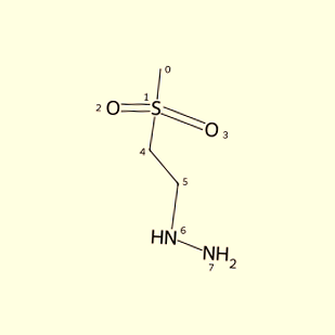 CS(=O)(=O)CCNN